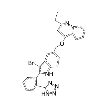 CCc1cc(OCc2ccc3[nH]c(-c4ccccc4-c4nnn[nH]4)c(Br)c3c2)c2ccccc2n1